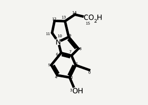 Cc1c(O)ccc2c1cc1n2CCC1CC(=O)O